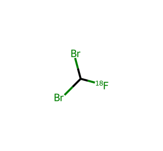 [18F]C(Br)Br